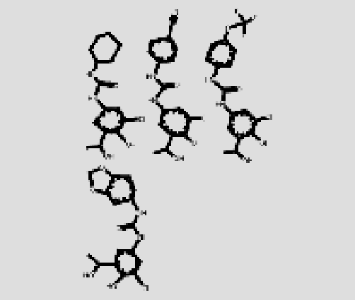 CC(O)c1cc(NC(=O)NC2CCCCC2)cc(Cl)c1O.CC(O)c1cc(NC(=O)Nc2ccc(C#N)cc2)cc(Cl)c1O.CC(O)c1cc(NC(=O)Nc2ccc(OC(F)(F)F)cc2)cc(Cl)c1O.CC(O)c1cc(NC(=O)Nc2ccc3c(c2)OCO3)cc(Cl)c1O